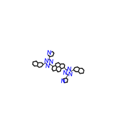 c1cncc(-c2nc(-c3ccc4ccccc4c3)nc(-c3ccc4ccc5c(-c6nc(-c7cccnc7)nc(-c7ccc8ccccc8c7)n6)ccc6ccc3c4c65)n2)c1